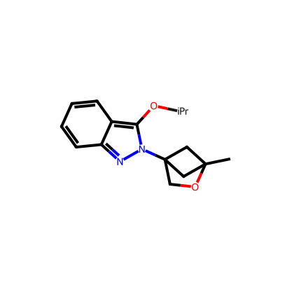 CC(C)Oc1c2ccccc2nn1C12COC(C)(C1)C2